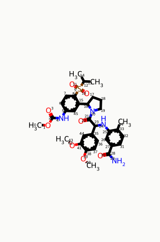 COC(=O)Nc1ccc(S(=O)(=O)C(C)C)c(C2CCCN2C(=O)C(Nc2cc(C(N)=O)ccc2C)c2ccc(OC)c(OC)c2)c1